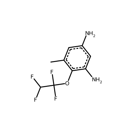 Cc1cc(N)cc(N)c1OC(F)(F)C(F)F